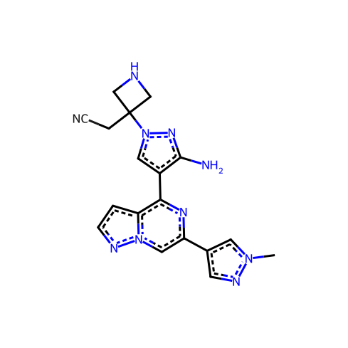 Cn1cc(-c2cn3nccc3c(-c3cn(C4(CC#N)CNC4)nc3N)n2)cn1